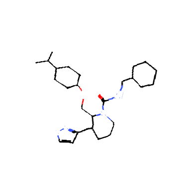 CC(C)C1CCC(OCC2C(c3cc[nH]n3)CCCN2C(=O)NCC2CCCCC2)CC1